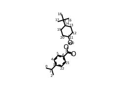 CC(C)c1ccc(C(=O)OO[C]2CCC(C(C)(C)C)CC2)cc1